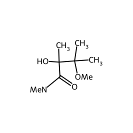 CNC(=O)C(C)(O)C(C)(C)OC